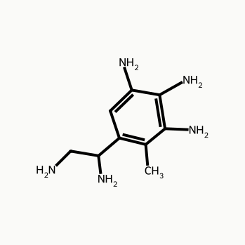 Cc1c(C(N)CN)cc(N)c(N)c1N